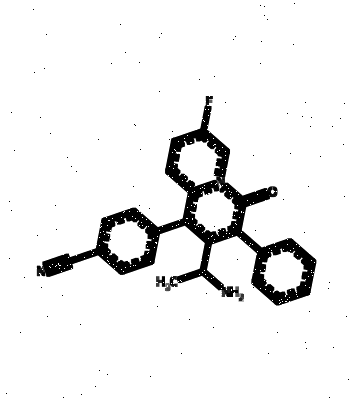 CC(N)c1c(-c2ccccc2)c(=O)n2cc(F)ccc2c1-c1ccc(C#N)cc1